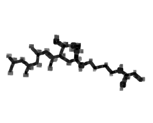 C=CC(=O)OCCCCOC(=O)CC(C(=O)O)/C(C)=C/C(C)CC(C)CC(C)C